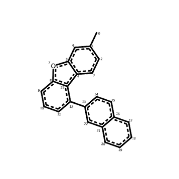 Cc1ccc2c(c1)oc1cccc(-c3ccc4ccccc4c3)c12